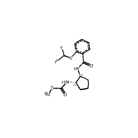 CC(C)(C)OC(=O)N[C@H]1CCC[C@@H]1NC(=O)c1ccccc1OC(F)F